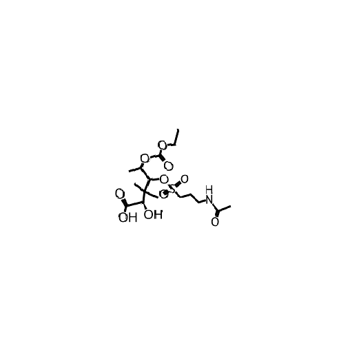 CCOC(=O)OC(C)C(OS(=O)(=O)CCCNC(C)=O)C(C)(C)[C@@H](O)C(=O)O